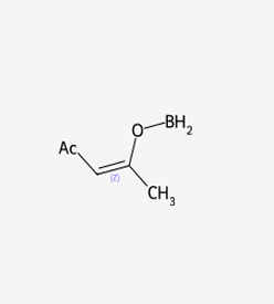 BO/C(C)=C\C(C)=O